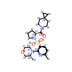 Cc1ccc(S(=O)(=O)N2CCC[C@H]2C(=O)N2CCC3(CC2)CC3)c(N2[C@@H](C)COC[C@@H]2C)n1